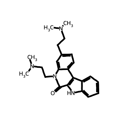 CN(C)CCc1ccc2c3c([nH]c4ccccc43)c(=O)n(CCN(C)C)c2c1